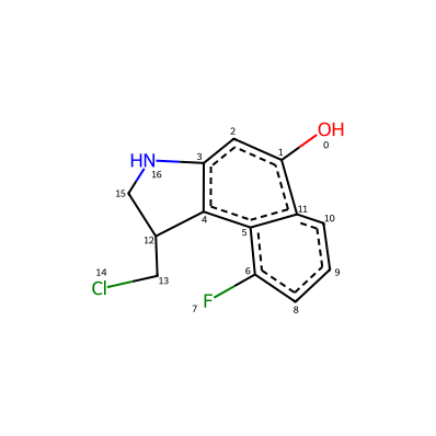 Oc1cc2c(c3c(F)cccc13)C(CCl)CN2